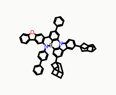 c1ccc(-c2ccc(N3B4c5c(cc(-c6ccccc6)cc5-n5c6ccc(C78CC9CC%10CC9(C7)C%10C8)cc6c6cc(C78CC9CC%10CC%11(C7)C8C9%10%11)cc4c65)-c4cc5oc6ccccc6c5cc43)cc2)cc1